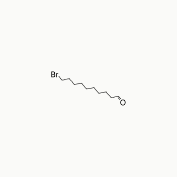 O=CCCCCCCCCCBr